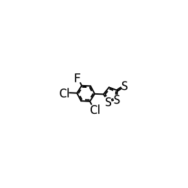 Fc1cc(-c2cc(=S)ss2)c(Cl)cc1Cl